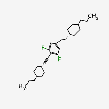 CCC[C@H]1CC[C@H](C#Cc2c(F)cc(CC[C@H]3CC[C@H](CCC)CC3)cc2F)CC1